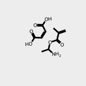 C=C(C)C(=O)OC(C)N.O=C(O)/C=C\C(=O)O